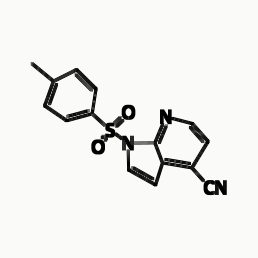 Cc1ccc(S(=O)(=O)n2ccc3c(C#N)ccnc32)cc1